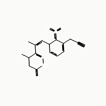 C#CCC1=CC=CC(C=C(C)C2=NNC(=O)CC2C)C1=S(=O)=O